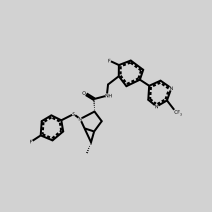 C[C@H]1C2C[C@@H](C(=O)NCc3cc(-c4cnc(C(F)(F)F)nc4)ccc3F)N(Sc3ccc(F)cc3)C21